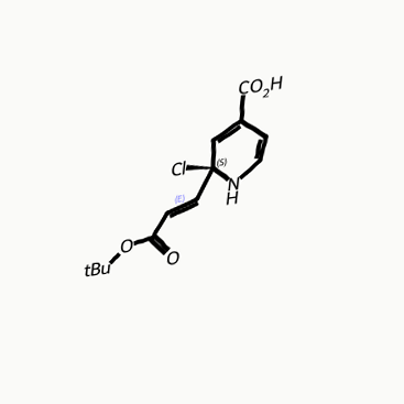 CC(C)(C)OC(=O)/C=C/[C@]1(Cl)C=C(C(=O)O)C=CN1